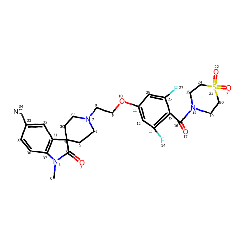 CN1C(=O)C2(CCN(CCOc3cc(F)c(C(=O)N4CCS(=O)(=O)CC4)c(F)c3)CC2)c2cc(C#N)ccc21